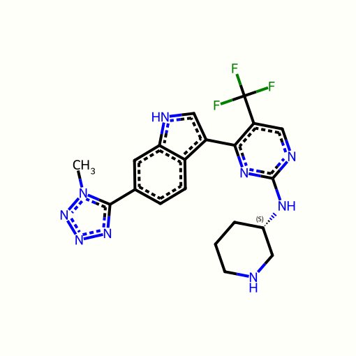 Cn1nnnc1-c1ccc2c(-c3nc(N[C@H]4CCCNC4)ncc3C(F)(F)F)c[nH]c2c1